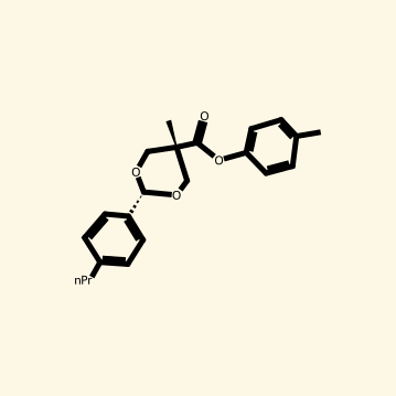 CCCc1ccc([C@H]2OC[C@@](C)(C(=O)Oc3ccc(C)cc3)CO2)cc1